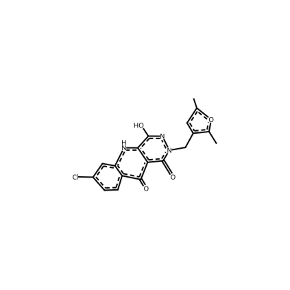 Cc1cc(Cn2nc(O)c3[nH]c4cc(Cl)ccc4c(=O)c3c2=O)c(C)o1